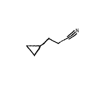 N#CC[CH]C1CC1